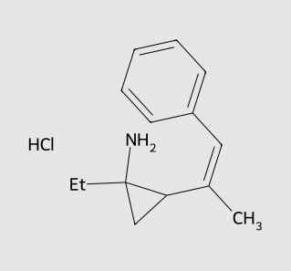 CCC1(N)CC1C(C)=Cc1ccccc1.Cl